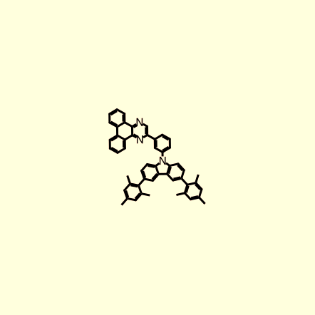 Cc1cc(C)c(-c2ccc3c(c2)c2cc(-c4c(C)cc(C)cc4C)ccc2n3-c2cccc(-c3cnc4c5ccccc5c5ccccc5c4n3)c2)c(C)c1